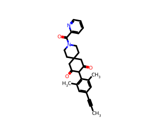 CC#Cc1cc(C)c(C2C(=O)CC3(CCN(C(=O)c4ccccn4)CC3)CC2=O)c(C)c1